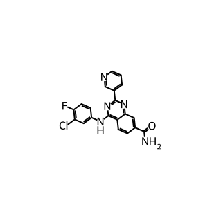 NC(=O)c1ccc2c(Nc3ccc(F)c(Cl)c3)nc(-c3cccnc3)nc2c1